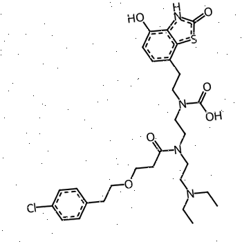 CCN(CC)CCN(CCN(CCc1ccc(O)c2[nH]c(=O)sc12)C(=O)O)C(=O)CCOCCc1ccc(Cl)cc1